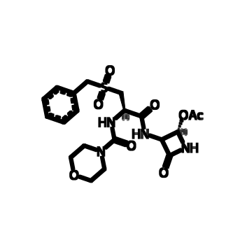 CC(=O)O[C@@H]1NC(=O)C1NC(=O)[C@H](CS(=O)(=O)Cc1ccccc1)NC(=O)N1CCOCC1